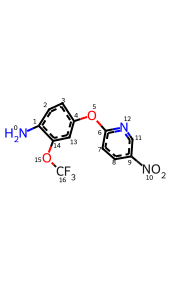 Nc1ccc(Oc2ccc([N+](=O)[O-])cn2)cc1OC(F)(F)F